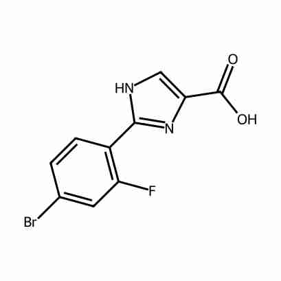 O=C(O)c1c[nH]c(-c2ccc(Br)cc2F)n1